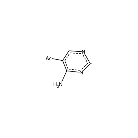 CC(=O)c1cn[c]nc1N